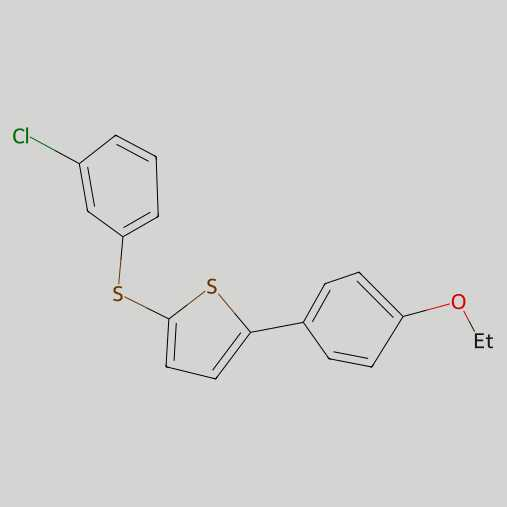 CCOc1ccc(-c2ccc(Sc3cccc(Cl)c3)s2)cc1